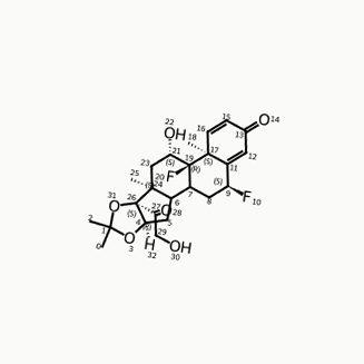 CC1(C)O[C@@H]2CC3C4C[C@H](F)C5=CC(=O)C=C[C@]5(C)[C@@]4(F)[C@@H](O)C[C@]3(C)[C@]2(C(=O)CO)O1